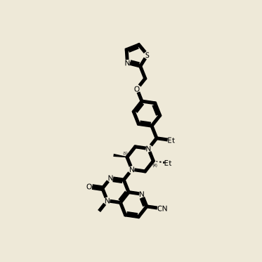 CCC(c1ccc(OCc2nccs2)cc1)N1C[C@H](C)N(c2nc(=O)n(C)c3ccc(C#N)nc23)C[C@H]1CC